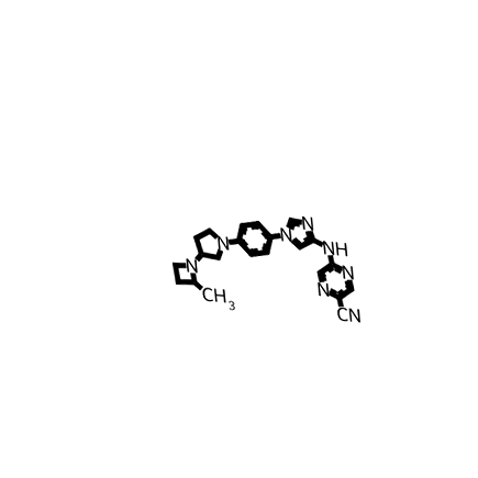 CC1CCN1C1CCN(c2ccc(-n3cnc(Nc4cnc(C#N)cn4)c3)cc2)C1